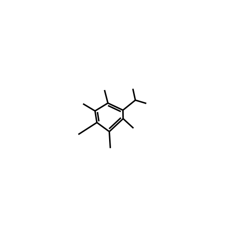 Cc1c(C)c(C)c(C(C)C)c(C)c1C